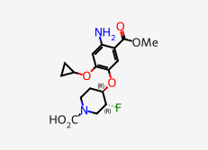 COC(=O)c1cc(O[C@@H]2CCN(C(=O)O)C[C@H]2F)c(OC2CC2)cc1N